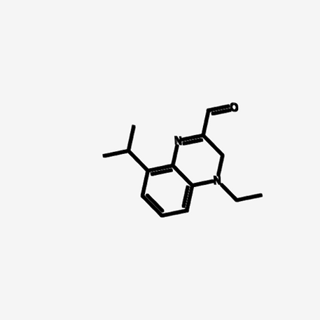 CCN1CC(C=O)=Nc2c(C(C)C)cccc21